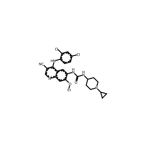 CCOc1cc2ncc(C#N)c(Nc3ccc(Cl)cc3Cl)c2cc1NC(=O)NC1CCN(C2CC2)CC1